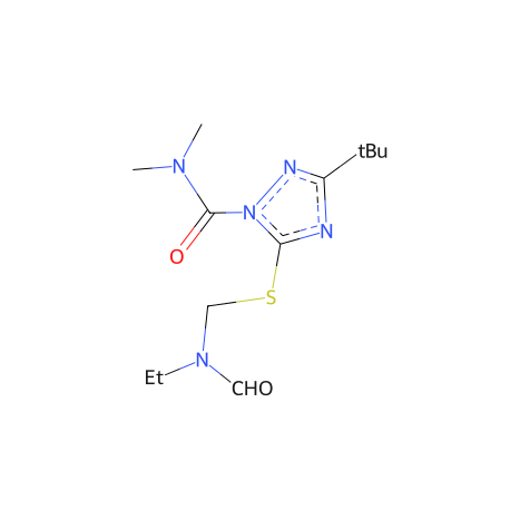 CCN(C=O)CSc1nc(C(C)(C)C)nn1C(=O)N(C)C